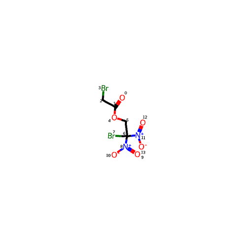 O=C(CBr)OCC(Br)([N+](=O)[O-])[N+](=O)[O-]